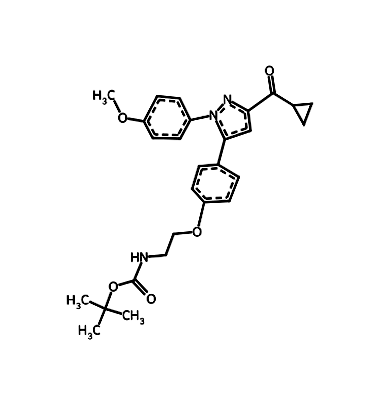 COc1ccc(-n2nc(C(=O)C3CC3)cc2-c2ccc(OCCNC(=O)OC(C)(C)C)cc2)cc1